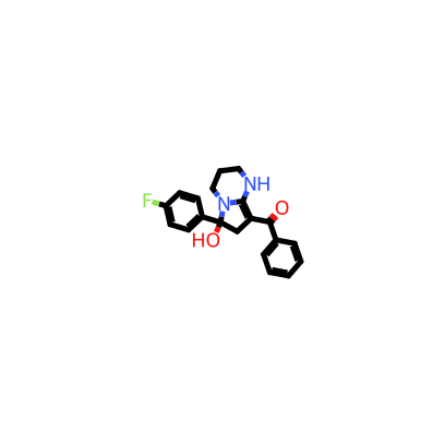 O=C(C1=C2NCCCN2C(O)(c2ccc(F)cc2)C1)c1ccccc1